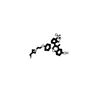 CC1=C(c2cccc(S(C)(=O)=O)c2F)[C@@H](c2ccc(OCCN3CC(CF)C3)cc2)Oc2ccc(O)cc21